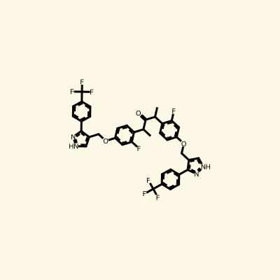 CC(C(=O)C(C)c1ccc(OCc2c[nH]nc2-c2ccc(C(F)(F)F)cc2)cc1F)c1ccc(OCc2c[nH]nc2-c2ccc(C(F)(F)F)cc2)cc1F